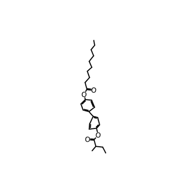 CCCCCCCCCC(=O)Oc1ccc(-c2ccc(OC(=O)C(C)CC)cc2)cc1